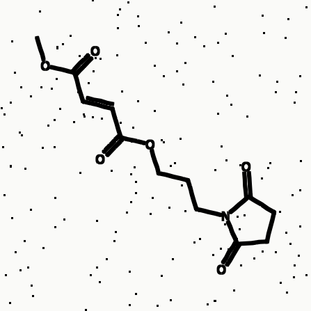 COC(=O)C=CC(=O)OCCCN1C(=O)CCC1=O